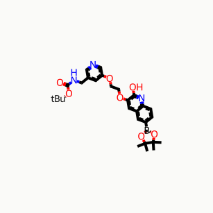 CC(C)(C)OC(=O)NCc1cncc(OCCOc2cc3cc(B4OC(C)(C)C(C)(C)O4)ccc3nc2O)c1